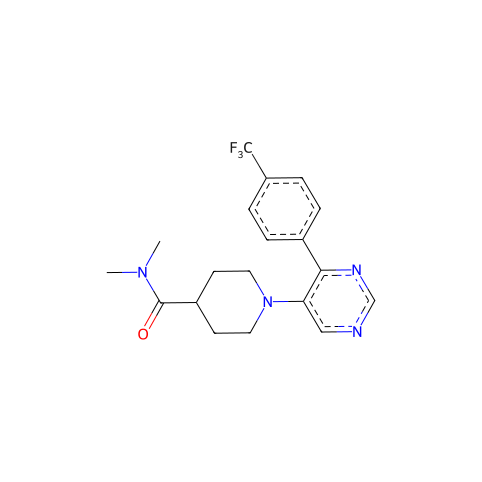 CN(C)C(=O)C1CCN(c2cncnc2-c2ccc(C(F)(F)F)cc2)CC1